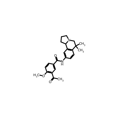 COc1ccc(C(=O)Nc2ccc3c(c2)C2CCCN2CC3(C)C)cc1C(C)=O